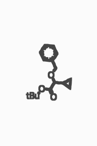 CC(C)(C)OC(=O)C(OCc1ccccc1)C1CC1